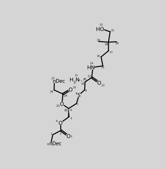 CCCCCCCCCCCC(=O)OC[C@H](CSC[C@H](N)C(=O)NCCCC(C)(C)CO)OC(=O)CCCCCCCCCCC